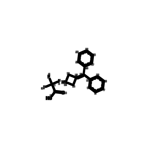 O=C(O)C(F)(F)F.c1ccc(C(=C2CNC2)c2ccccc2)cc1